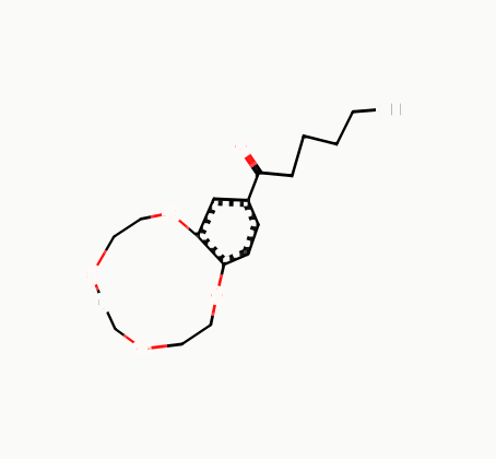 CCCCCC(=O)c1ccc2c(c1)OCCOCCOCCO2